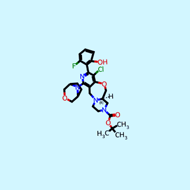 CC(C)(C)OC(=O)N1CCN2Cc3c(N4C5CCC4COC5)nc(-c4c(O)cccc4F)c(Cl)c3OC[C@H]2C1